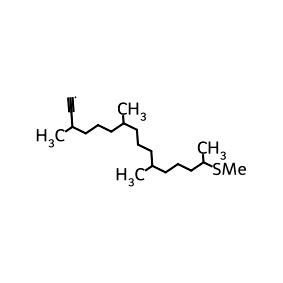 [C]#CC(C)CCCC(C)CCCC(C)CCCC(C)SC